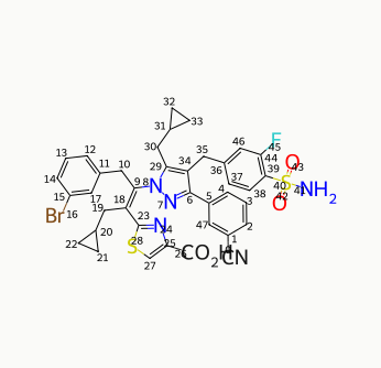 N#Cc1cccc(-c2nn(C(Cc3cccc(Br)c3)=C(CC3CC3)c3nc(C(=O)O)cs3)c(CC3CC3)c2Cc2ccc(S(N)(=O)=O)c(F)c2)c1